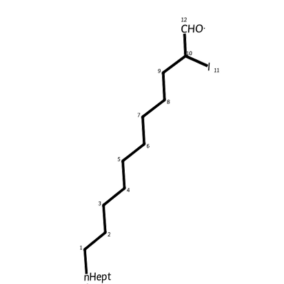 CCCCCCCCCCCCCCCCC(I)[C]=O